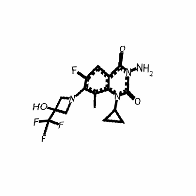 Cc1c(N2CC(O)(C(F)(F)F)C2)c(F)cc2c(=O)n(N)c(=O)n(C3CC3)c12